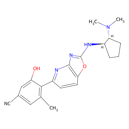 Cc1cc(C#N)cc(O)c1-c1ccc2oc(N[C@@H]3CCC[C@H]3N(C)C)nc2n1